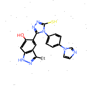 CCc1n[nH]c2cc(O)c(-c3nnc(S)n3-c3ccc(-n4ccnc4)cc3)cc12